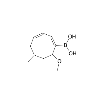 COC1CC(C)C/C=C\C=C/1B(O)O